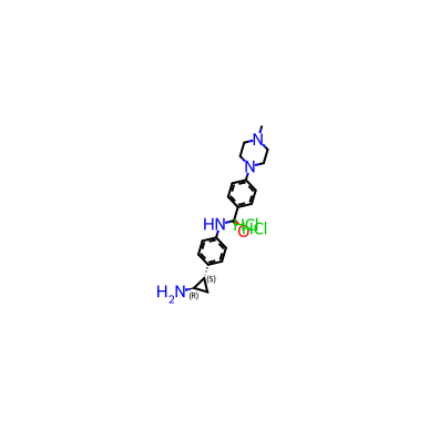 CN1CCN(c2ccc(C(=O)Nc3ccc([C@@H]4C[C@H]4N)cc3)cc2)CC1.Cl.Cl